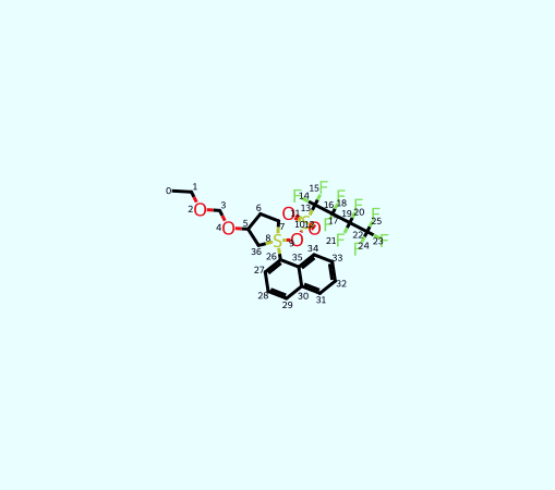 CCOCOC1CCS(OS(=O)(=O)C(F)(F)C(F)(F)C(F)(F)C(F)(F)F)(c2cccc3ccccc23)C1